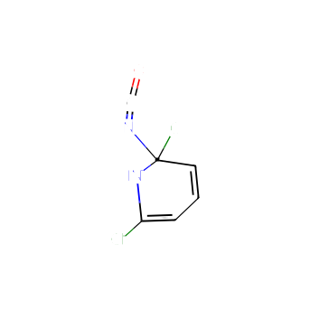 O=C=NC1(Cl)C=CC=C(Cl)N1